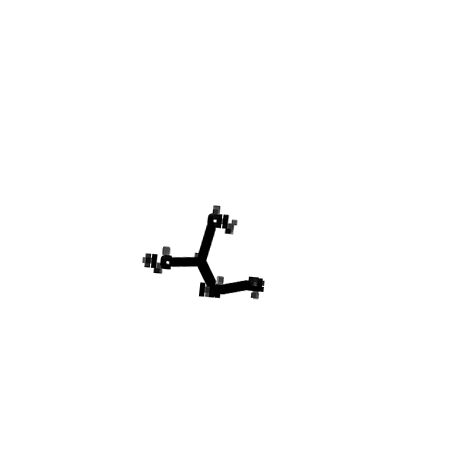 [CH2]C([CH2])NCC